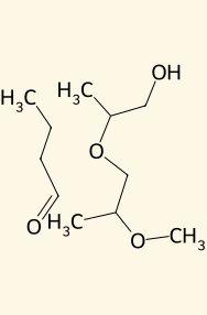 CCCC=O.COC(C)COC(C)CO